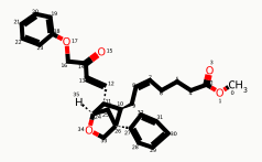 COC(=O)CCC/C=C\C[C@@H]1[C@@H](/C=C/C(=O)COc2ccccc2)[C@H]2C[C@]1(c1ccccc1)CO2